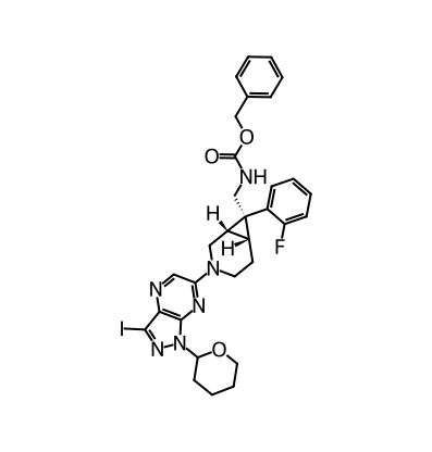 O=C(NC[C@]1(c2ccccc2F)[C@@H]2CCN(c3cnc4c(I)nn(C5CCCCO5)c4n3)C[C@@H]21)OCc1ccccc1